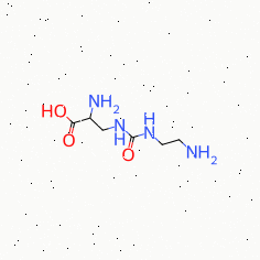 NCCNC(=O)NCC(N)C(=O)O